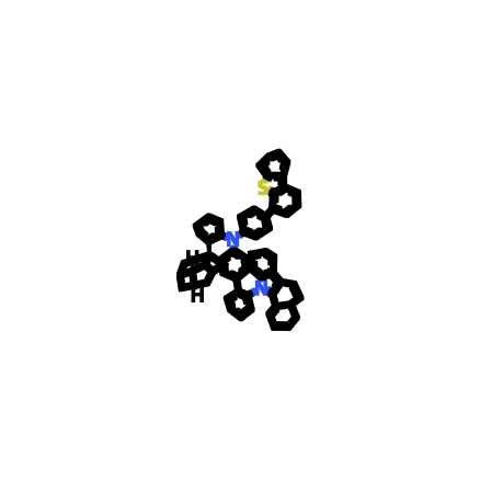 C1=CCC2C=Cc3c(n(-c4ccccc4-c4ccc(N(c5ccc(-c6cccc7c6sc6ccccc67)cc5)c5ccccc5[C@]56CC7C[C@H]8CC(C5)[C@H]8C76)cc4)c4ccccc34)C2=C1